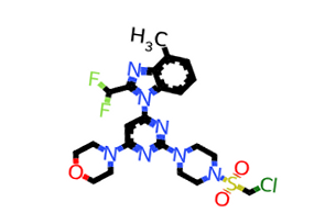 Cc1cccc2c1nc(C(F)F)n2-c1cc(N2CCOCC2)nc(N2CCN(S(=O)(=O)CCl)CC2)n1